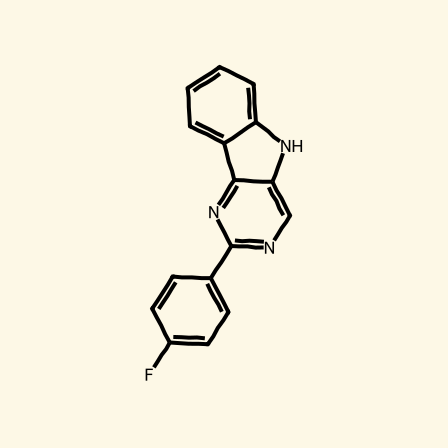 Fc1ccc(-c2ncc3[nH]c4ccccc4c3n2)cc1